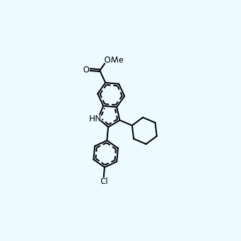 COC(=O)c1ccc2c(C3CCCCC3)c(-c3ccc(Cl)cc3)[nH]c2c1